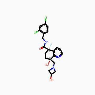 O=C(NCc1ccc(Cl)cc1Cl)[C@]1(F)CC[C@@](O)(CN2CC(O)C2)c2ncccc21